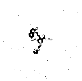 COC(=O)C1CN(CCSc2cccs2)CCC1CCCn1c(=O)ccc2ccc(OC)cc21